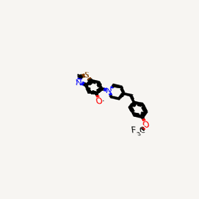 [O]c1cc2ncsc2cc1N1CCC(Cc2ccc(OC(F)(F)F)cc2)CC1